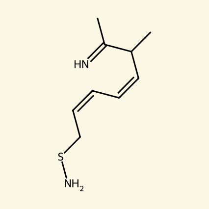 CC(=N)C(C)/C=C\C=C/CSN